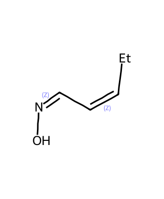 CC/C=C\C=N/O